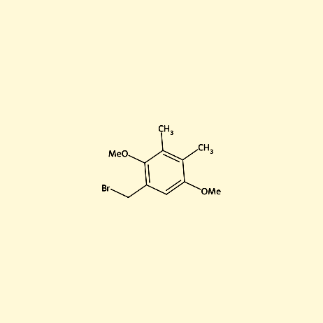 COc1cc(CBr)c(OC)c(C)c1C